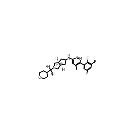 [2H]C([2H])(C1CCOCC1)N1C[C@H]2CC(Nc3cc(C)c(-c4cc(F)cc(F)c4F)nn3)C[C@H]2C1